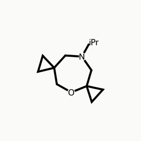 CC(C)N1CC2(CC2)COC2(CC2)C1